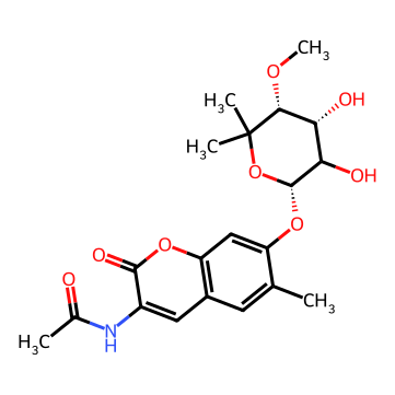 CO[C@@H]1[C@H](O)C(O)[C@H](Oc2cc3oc(=O)c(NC(C)=O)cc3cc2C)OC1(C)C